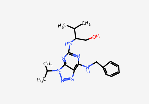 CC(C)C(CO)Nc1nc(NCc2ccccc2)c2nnn(C(C)C)c2n1